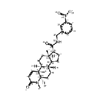 CN1C(=O)C=C[C@]2(C)[C@H]3CC[C@]4(C)[C@@H](C(=O)NCc5cccc([N+](=O)[O-])c5)CC[C@H]4[C@@H]3CC[C@@H]12